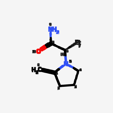 C=C1CCCN1[C@@H](CC)C(N)=O